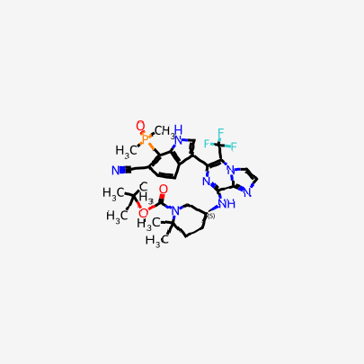 CC(C)(C)OC(=O)N1C[C@@H](Nc2nc(-c3c[nH]c4c(P(C)(C)=O)c(C#N)ccc34)c(C(F)(F)F)n3ccnc23)CCC1(C)C